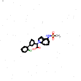 CS(=O)(=O)Nc1cccc2c1ccn2C(C(=O)O)c1cccc(-c2ccccc2Cl)c1